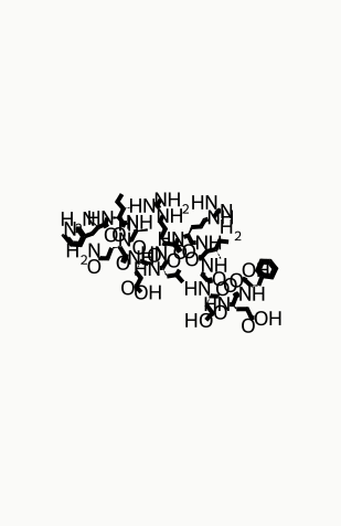 CC[C@H](C)[C@H](NC(=O)[C@H](CCCNC(=N)N)NC(=O)[C@H](CCCNC(=N)N)NC(=O)[C@H](CC(C)C)NC(=O)[C@H](CCC(=O)O)NC(=O)[C@H](CCC(N)=O)NC(=O)[C@H](C)NC(=O)[C@@H](NC(=O)[C@@H](N)Cc1cccnc1)[C@@H](C)CC)C(=O)NCC(=O)N[C@@H](CC(=O)O)C(=O)N[C@@H](CCC(=O)O)C(=O)N[C@@H](Cc1ccccc1)C(=O)O